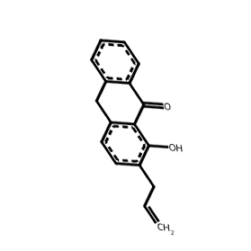 C=CCc1ccc2c(c1O)C(=O)c1ccccc1C2